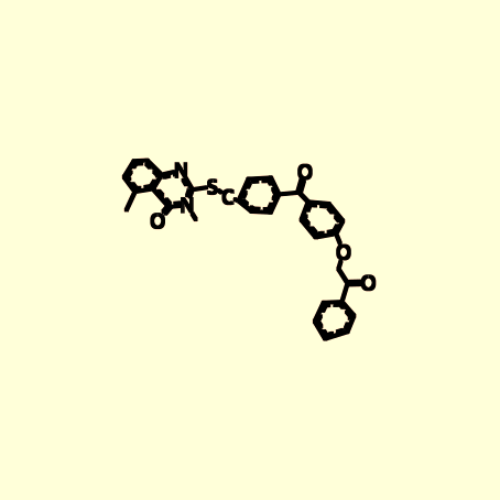 Cc1cccc2nc(SCc3ccc(C(=O)c4ccc(OCC(=O)c5ccccc5)cc4)cc3)n(C)c(=O)c12